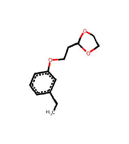 CCc1cccc(OCCC2OCCO2)c1